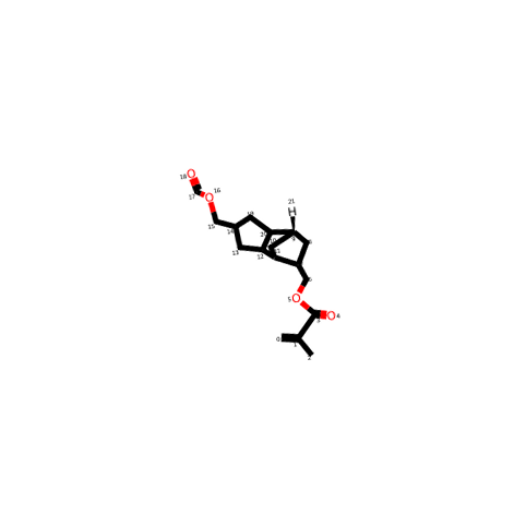 C=C(C)C(=O)OCC1C[C@@H]2CC1C1CC(COC=O)CC12